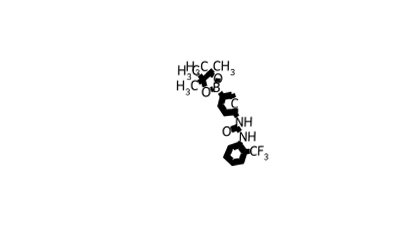 CC1(C)OB(c2ccc(NC(=O)Nc3ccccc3C(F)(F)F)cc2)OC1(C)C